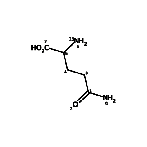 NC(=O)CCC([15NH2])C(=O)O